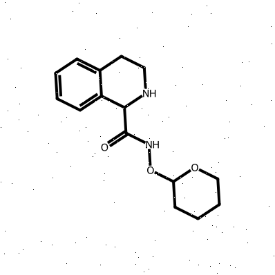 O=C(NOC1CCCCO1)C1NCCc2ccccc21